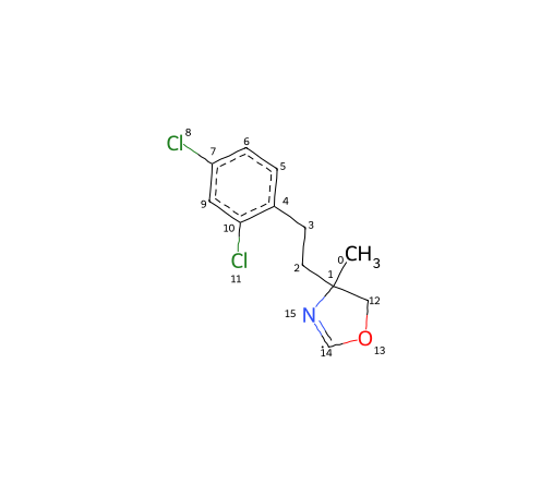 CC1(CCc2ccc(Cl)cc2Cl)CO[C]=N1